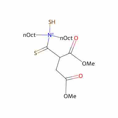 CCCCCCCC[N+](S)(CCCCCCCC)C(=S)C(CC(=O)OC)C(=O)OC